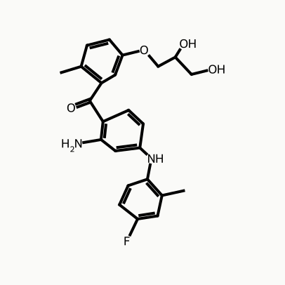 Cc1cc(F)ccc1Nc1ccc(C(=O)c2cc(OCC(O)CO)ccc2C)c(N)c1